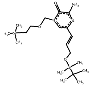 CC(C)(C)[Si](C)(C)OC/C=C/c1cn(COCC[Si](C)(C)C)c(=O)c(N)n1